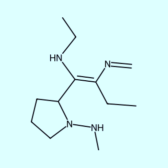 C=N/C(CC)=C(\NCC)C1CCCN1NC